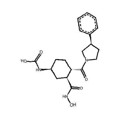 O=C(O)N[C@H]1CC[C@H](C(=O)N2CC[C@H](c3ccccc3)C2)[C@@H](C(=O)NO)C1